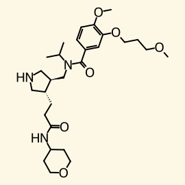 COCCCOc1cc(C(=O)N(C[C@@H]2CNC[C@H]2CCC(=O)NC2CCOCC2)C(C)C)ccc1OC